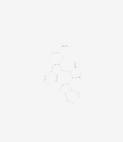 Cn1cc(C2=C(c3c4n(c5ccccc35)CCN(C(=O)OC(C)(C)C)C4)C(=O)OC2=O)c2ccccc21